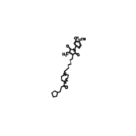 CC1=C(CCCCCCN2CCN(C(=O)CCC3CCCC3)CC2)C(=O)N(c2ccc(C#N)c(C(F)(F)F)c2)C1=O